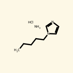 CCCCCn1ccnc1.Cl.N